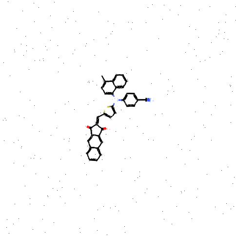 Cc1ccc(N(c2ccc(C#N)cc2)c2ccc(C=C3C(=O)c4cc5ccccc5cc4C3=O)s2)c2ccccc12